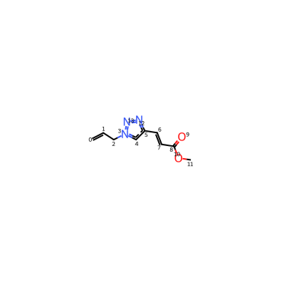 C=CCn1cc(C=CC(=O)OC)nn1